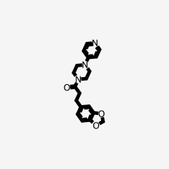 O=C(CCc1ccc2c(c1)OCO2)N1CCN(c2ccncc2)CC1